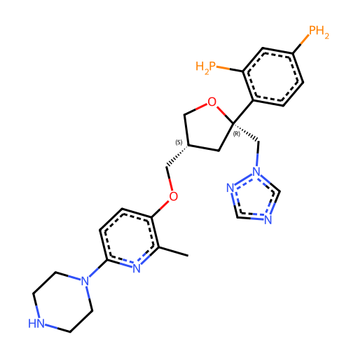 Cc1nc(N2CCNCC2)ccc1OC[C@@H]1CO[C@@](Cn2cncn2)(c2ccc(P)cc2P)C1